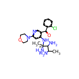 CC(N)C(N)[C@](C)(N)Nc1cc(N2CCOCC2)ncc1C(=O)c1ccccc1Cl